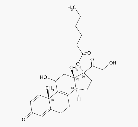 CCCCCC(=O)O[C@]1(C(=O)CO)CC[C@H]2C3=C(C(O)C[C@@]21C)[C@@]1(C)C=CC(=O)C=C1CC3